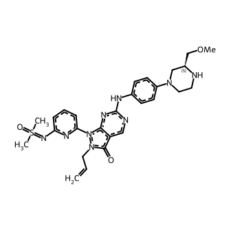 C=CCn1c(=O)c2cnc(Nc3ccc(N4CCN[C@H](COC)C4)cc3)nc2n1-c1cccc(N=S(C)(C)=O)n1